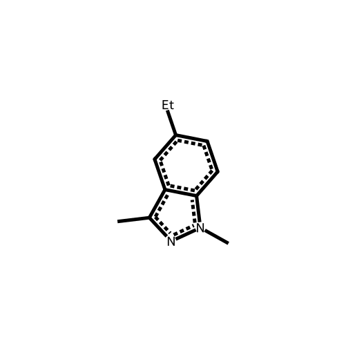 CCc1ccc2c(c1)c(C)nn2C